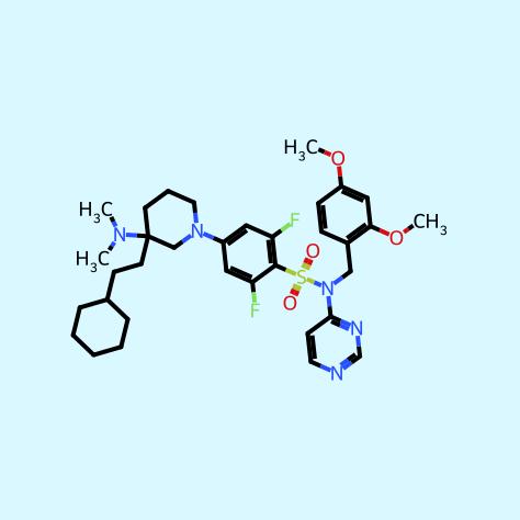 COc1ccc(CN(c2ccncn2)S(=O)(=O)c2c(F)cc(N3CCCC(CCC4CCCCC4)(N(C)C)C3)cc2F)c(OC)c1